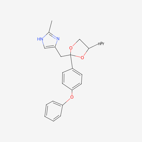 CCCC1COC(Cc2c[nH]c(C)n2)(c2ccc(Oc3ccccc3)cc2)O1